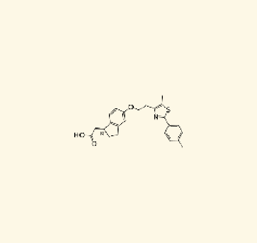 Cc1ccc(-c2nc(CCOc3ccc4c(c3)CC[C@H]4CC(=O)O)c(C)s2)cc1